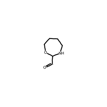 O=[C]C1NCCCCO1